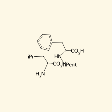 CC(C)CC(N)C(=O)O.CCCCCNC(Cc1ccccc1)C(=O)O